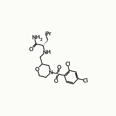 CC(C)C[C@H](NCC1CN(S(=O)(=O)c2ccc(Cl)cc2Cl)CCO1)C(N)=O